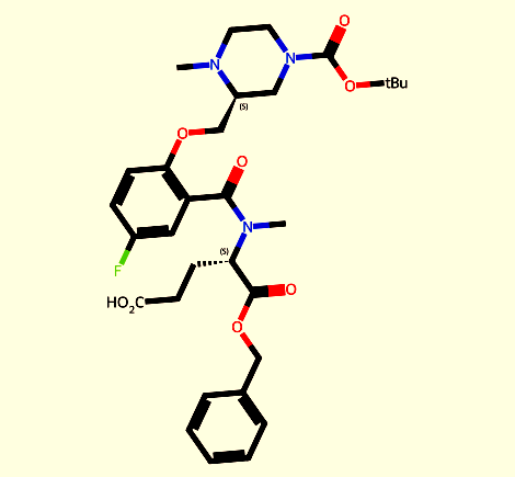 CN1CCN(C(=O)OC(C)(C)C)C[C@H]1COc1ccc(F)cc1C(=O)N(C)[C@@H](CCC(=O)O)C(=O)OCc1ccccc1